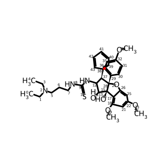 CCN(CC)CCCNC(=S)NC1C(O)[C@@]2(O)c3c(OC)cc(OC)cc3O[C@@]2(c2ccc(OC)cc2)[C@@H]1c1ccccc1